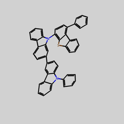 c1ccc(-c2ccc(-n3c4ccccc4c4ccc(-c5ccc6c(c5)c5ccccc5n6-c5ccccc5)cc43)c3sc4ccccc4c23)cc1